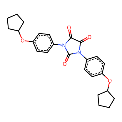 O=C1C(=O)N(c2ccc(OC3CCCC3)cc2)C(=O)N1c1ccc(OC2CCCC2)cc1